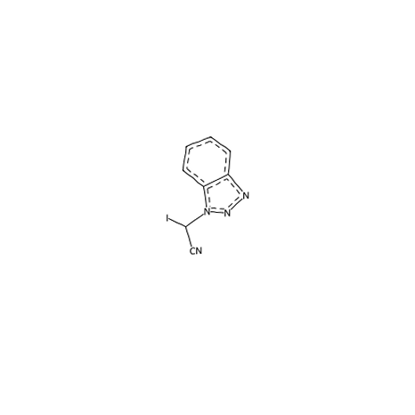 N#CC(I)n1nnc2ccccc21